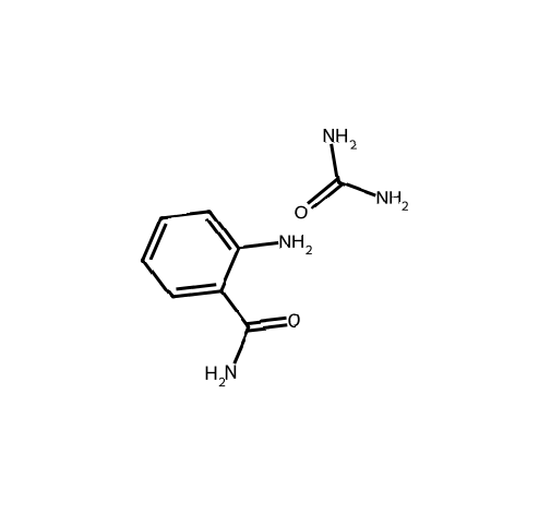 NC(=O)c1ccccc1N.NC(N)=O